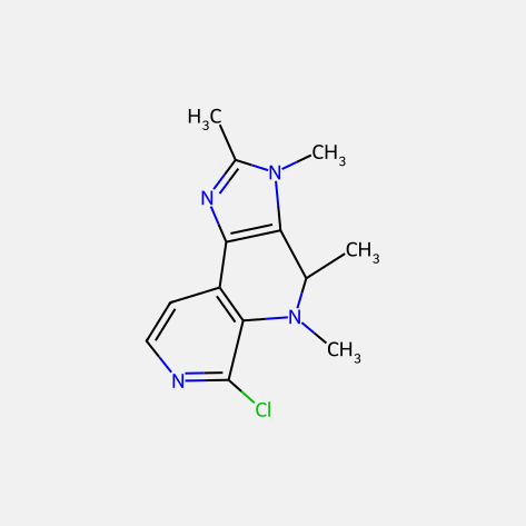 Cc1nc2c(n1C)C(C)N(C)c1c-2ccnc1Cl